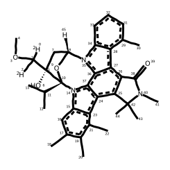 [2H]C([2H])(OC)[C@@]1(O)C[C@H]2O[C@]1(C(C)C)n1c3cc(C)c(C)c(C)c3c3c4c(c5c6c(C)cccc6n2c5c31)C(=O)N(C)C4(C)C